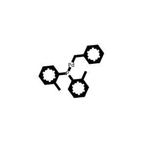 Cc1ccccc1[P]([Pd][CH2]c1ccccc1)c1ccccc1C